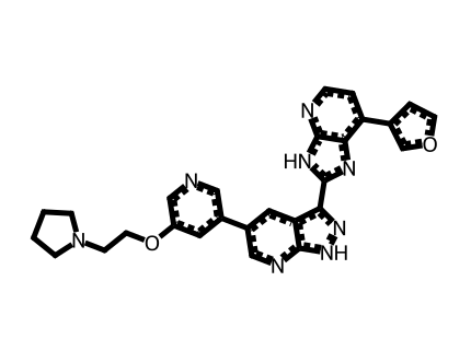 c1cc(-c2ccoc2)c2nc(-c3n[nH]c4ncc(-c5cncc(OCCN6CCCC6)c5)cc34)[nH]c2n1